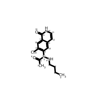 CCCCNN(C(C)=O)c1cc2cc[nH]c(=O)c2cc1Cl